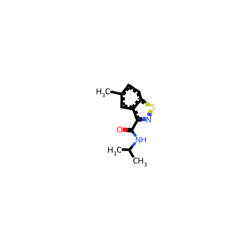 Cc1ccc2snc(C(=O)NC(C)C)c2c1